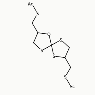 CC(=O)SCC1CSC2(O1)SCC(CSC(C)=O)S2